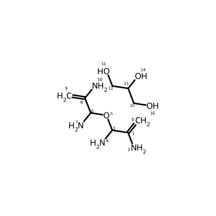 C=C(N)C(N)OC(N)C(=C)N.OCC(O)CO